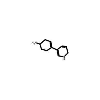 NC1CC=C(C2=[C]NCC=C2)CC1